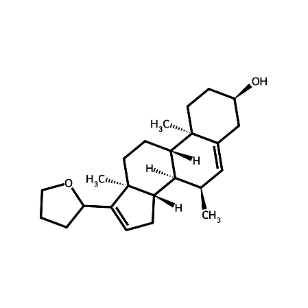 C[C@@H]1C=C2C[C@H](O)CC[C@]2(C)[C@H]2CC[C@]3(C)C(C4CCCO4)=CC[C@H]3[C@H]12